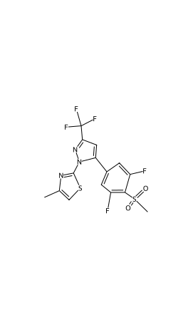 Cc1csc(-n2nc(C(F)(F)F)cc2-c2cc(F)c(S(C)(=O)=O)c(F)c2)n1